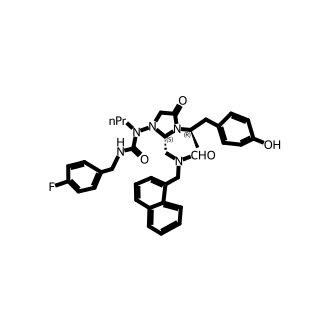 CCCN(C(=O)NCc1ccc(F)cc1)N1CC(=O)N([C@H](C)Cc2ccc(O)cc2)[C@@H]1CN(C=O)Cc1cccc2ccccc12